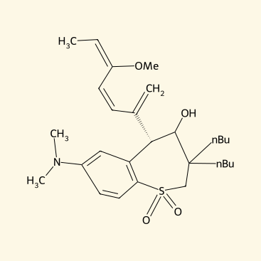 C=C(/C=C\C(=C/C)OC)[C@H]1c2cc(N(C)C)ccc2S(=O)(=O)CC(CCCC)(CCCC)C1O